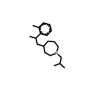 Cc1ccccc1C(C)CC1CCCN(CC(C)C)CC1